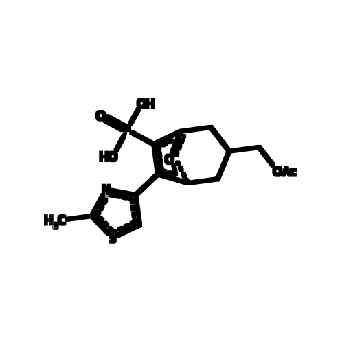 CC(=O)OCC1Cc2oc(c(P(=O)(O)O)c2-c2csc(C)n2)C1